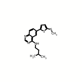 CSc1ccc(-c2ccc3ncnc(NCCC(C)C)c3c2)s1